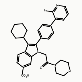 O=C(O)c1ccc2c(C3CCCCC3)c(-c3ccc(-c4cccnc4F)cc3)n(CC(=O)N3CCOCC3)c2c1